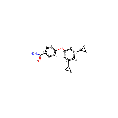 NC(=O)c1ccc(Oc2cc(C3CC3)cc(C3CC3)c2)cc1